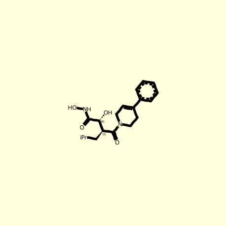 CC(C)C[C@H](C(=O)N1CC=C(c2ccccc2)CC1)[C@@H](O)C(=O)NO